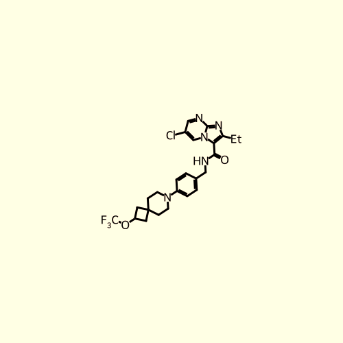 CCc1nc2ncc(Cl)cn2c1C(=O)NCc1ccc(N2CCC3(CC2)CC(OC(F)(F)F)C3)cc1